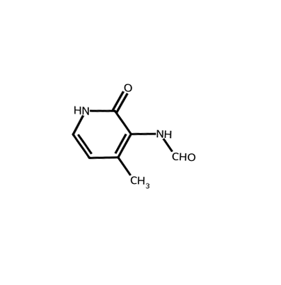 Cc1cc[nH]c(=O)c1NC=O